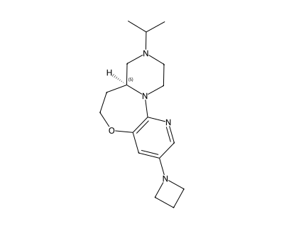 CC(C)N1CCN2c3ncc(N4CCC4)cc3OCC[C@H]2C1